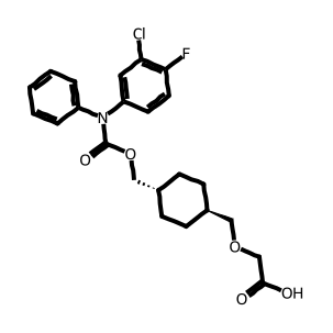 O=C(O)COC[C@H]1CC[C@H](COC(=O)N(c2ccccc2)c2ccc(F)c(Cl)c2)CC1